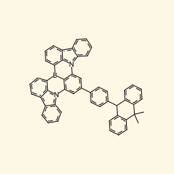 CC1(C)c2ccccc2C(c2ccc(-c3cc4c5c(c3)-n3c6ccccc6c6cccc(c63)B5c3cccc5c6ccccc6n-4c35)cc2)c2ccccc21